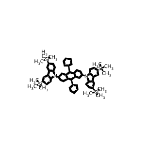 C[Si](C)(C)c1ccc2c(c1)c1cc([Si](C)(C)C)ccc1n2-c1ccc2c(-c3ccccc3)c3cc(-n4c5ccc([Si](C)(C)C)cc5c5cc([Si](C)(C)C)ccc54)ccc3c(-c3ccccc3)c2c1